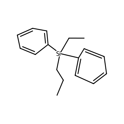 CCC[Si](CC)(c1ccccc1)c1ccccc1